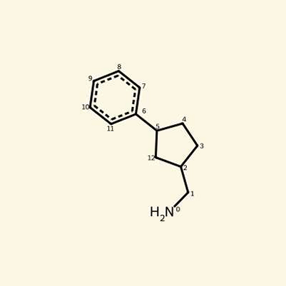 NCC1CCC(c2ccccc2)C1